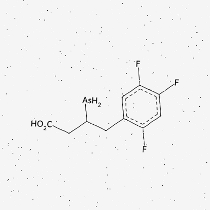 O=C(O)CC([AsH2])Cc1cc(F)c(F)cc1F